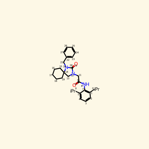 CC(C)c1cccc(C(C)C)c1NC(=O)CN1CC2(CCCCC2)N(Cc2ccccc2)C1=O